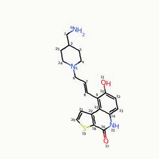 NCC1CCN(CC=Cc2c(O)ccc3[nH]c(=O)c4sccc4c23)CC1